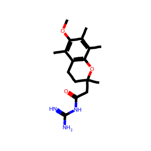 COc1c(C)c(C)c2c(c1C)CCC(C)(CC(=O)NC(=N)N)O2